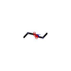 CCCCCCCC/C=C\CCCCCCCC(=O)OC[C@@H](C[N+](C)(C)C)OC(=O)CCCCCCC/C=C\CCCCCCCC